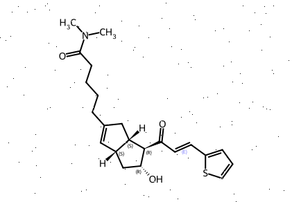 CN(C)C(=O)CCCCC1=C[C@H]2C[C@@H](O)[C@H](C(=O)/C=C/c3cccs3)[C@H]2C1